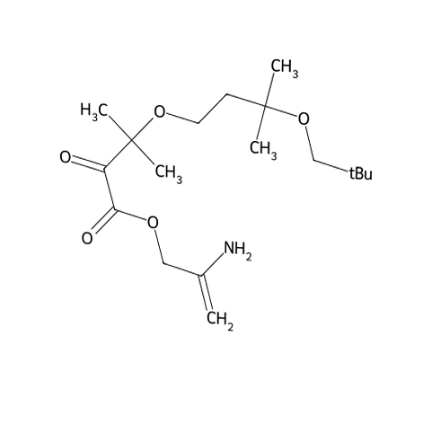 C=C(N)COC(=O)C(=O)C(C)(C)OCCC(C)(C)OCC(C)(C)C